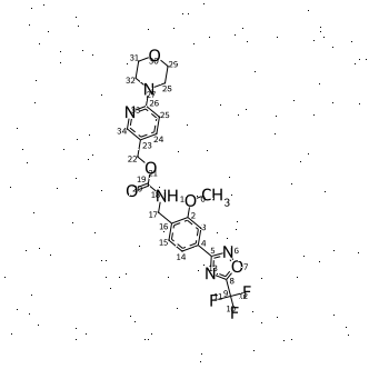 COc1cc(-c2noc(C(F)(F)F)n2)ccc1CNC(=O)OCc1ccc(N2CCOCC2)nc1